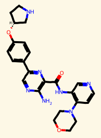 Nc1ncc(-c2ccc(O[C@@H]3CCNC3)cc2)nc1C(=O)Nc1cnccc1N1CCOCC1